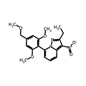 CCc1nn2c(-c3c(OC)cc(COC)cc3OC)cccc2c1[N+](=O)[O-]